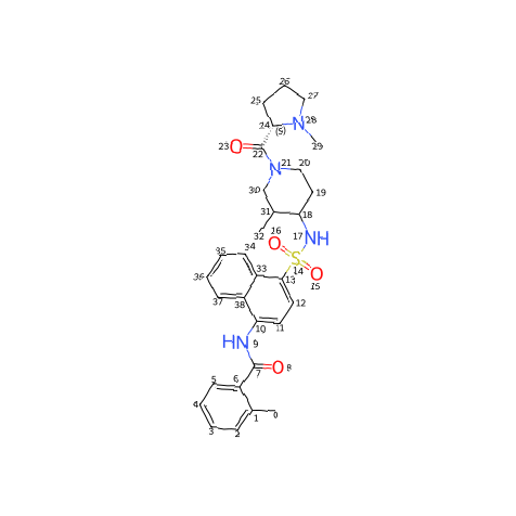 Cc1ccccc1C(=O)Nc1ccc(S(=O)(=O)NC2CCN(C(=O)[C@@H]3CCCN3C)CC2C)c2ccccc12